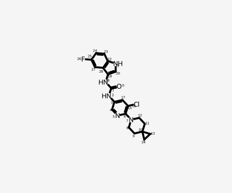 O=C(Nc1cnc(N2CCC3(CC2)CC3)c(Cl)c1)Nc1c[nH]c2ccc(F)cc12